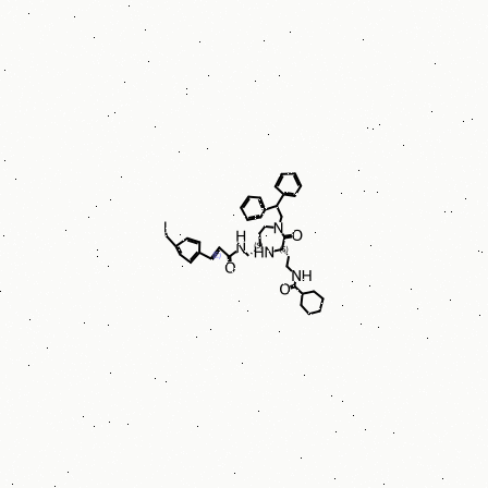 O=C(/C=C/c1ccc(CI)cc1)NC[C@@H]1CCN(CC(c2ccccc2)c2ccccc2)C(=O)[C@H](CCNC(=O)C2CCCCC2)N1